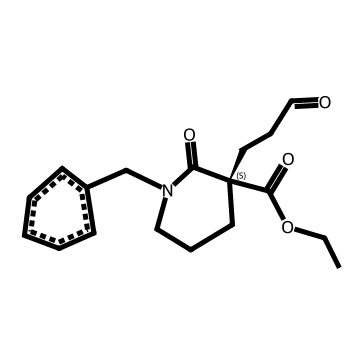 CCOC(=O)[C@]1(CCC=O)CCCN(Cc2ccccc2)C1=O